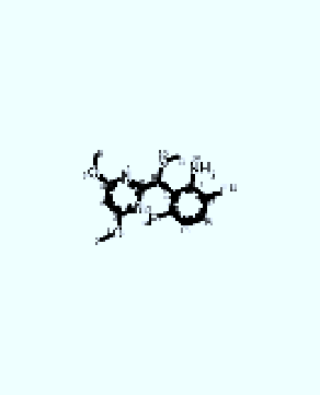 COc1cc(OC)nc(C(SC)c2c(F)ccc(F)c2N)n1